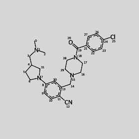 CN(C)CC1CCN(c2ccc(C#N)c(CN3CCN(C(=O)c4ccc(Cl)cc4)CC3)c2)C1